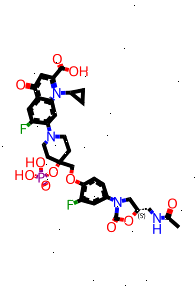 CC(=O)NC[C@H]1CN(c2ccc(OCC3(OP(=O)(O)O)CCN(c4cc5c(cc4F)c(=O)cc(C(=O)O)n5C4CC4)CC3)c(F)c2)C(=O)O1